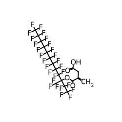 C=C(CC(=O)O)C(=O)OC(C(F)(F)F)(C(F)(F)C(F)(F)F)C(F)(F)C(F)(F)C(F)(F)C(F)(F)C(F)(F)C(F)(F)C(F)(F)C(F)(F)C(F)(F)F